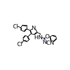 N#C/N=C(/NCc1cnc(-c2ccc(Cl)cc2)c(-c2ccc(Cl)cc2)c1)Oc1ccccc1